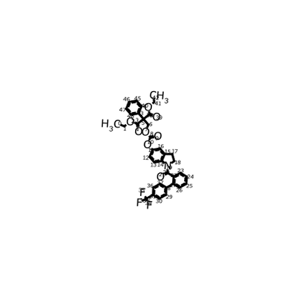 CCOC(=O)C(COC(=O)Oc1ccc2c(c1)CCN2C(=O)c1ccccc1-c1ccc(C(F)(F)F)cc1)(C(=O)OCC)c1ccccc1